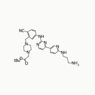 CC(C)(C)OC(=O)CN1CCN(Cc2cc(Nc3nccc(-c4ccc(NCCCN)nc4)n3)ccc2C#N)CC1